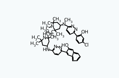 CC1(C)CC(Nc2ccc(-c3cc4ccccc4cc3O)nn2)CC(C)(C)N1.CN(c1ccc(-c2ccc(Cl)cc2O)nn1)C1CC(C)(C)N(C)C(C)(C)C1